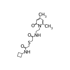 Cc1cc(C)n(CCNC(=O)CSCC(=O)NC2CCC2)c(=O)c1